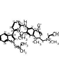 CCN(C)CCN(C)c1cc(OC)c(Nc2nccc(-c3cn(SN(C)C)c4ccccc34)n2)cc1[N+](=O)[O-]